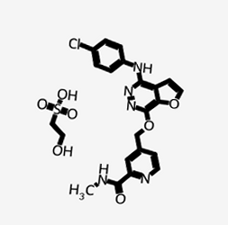 CNC(=O)c1cc(COc2nnc(Nc3ccc(Cl)cc3)c3ccoc23)ccn1.O=S(=O)(O)CCO